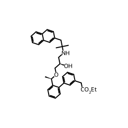 CCOC(=O)Cc1cccc(-c2ccccc2[C@@H](C)OC[C@H](O)CNC(C)(C)Cc2ccc3ccccc3c2)c1